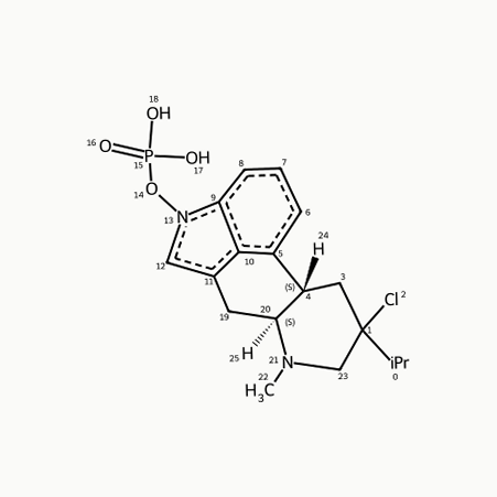 CC(C)C1(Cl)C[C@H]2c3cccc4c3c(cn4OP(=O)(O)O)C[C@@H]2N(C)C1